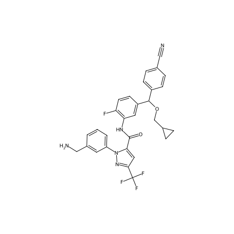 N#Cc1ccc(C(OCC2CC2)c2ccc(F)c(NC(=O)c3cc(C(F)(F)F)nn3-c3cccc(CN)c3)c2)cc1